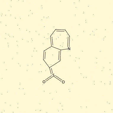 O=S(=O)=c1ccc2ccccnc-2c1